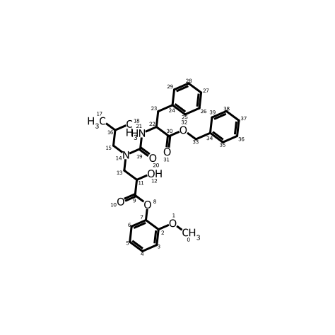 COc1ccccc1OC(=O)C(O)CN(CC(C)C)C(=O)NC(Cc1ccccc1)C(=O)OCc1ccccc1